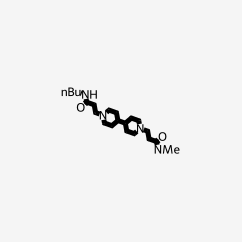 CCCCNC(=O)CCN1CCC(C2CCN(CCC(=O)NC)CC2)CC1